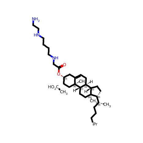 CC(=O)O.CC(C)CCC[C@@H](C)[C@H]1CC[C@H]2[C@@H]3CC=C4C[C@@H](OC(=O)CNCCCCNCCN)CC[C@]4(C)[C@H]3CC[C@]12C